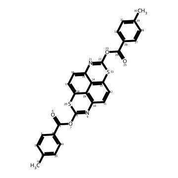 Cc1ccc(C(=O)OC2=Nc3ccc4c5c(ccc(c35)S2)N=C(OC(=O)c2ccc(C)cc2)S4)cc1